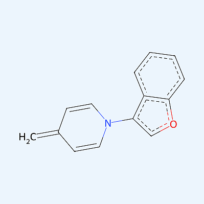 C=C1C=CN(c2coc3ccccc23)C=C1